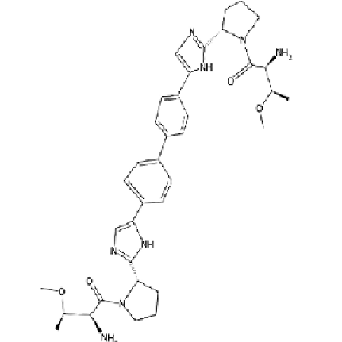 CO[C@H](C)[C@H](N)C(=O)N1CCC[C@H]1c1ncc(-c2ccc(-c3ccc(-c4cnc([C@@H]5CCCN5C(=O)[C@@H](N)[C@@H](C)OC)[nH]4)cc3)cc2)[nH]1